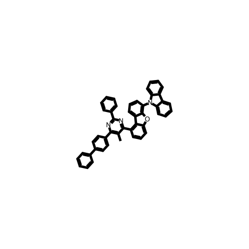 Cc1c(-c2ccc(-c3ccccc3)cc2)nc(-c2ccccc2)nc1-c1cccc2oc3c(-n4c5ccccc5c5ccccc54)cccc3c12